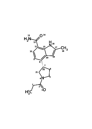 CCC(=O)N1CC[C@@H](c2ccc(C(N)=O)c3[nH]c(C)cc23)C1